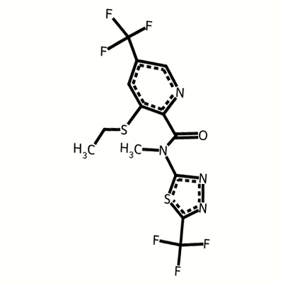 CCSc1cc(C(F)(F)F)cnc1C(=O)N(C)c1nnc(C(F)(F)F)s1